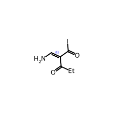 CCC(=O)/C(=C\N)C(=O)I